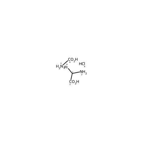 CC(C)C(N)C(=O)O.Cl.NC(=O)O